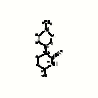 CN1CCN([C@@H]2CCC(=O)NC2=O)CC1